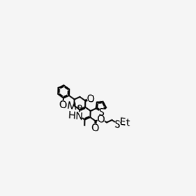 CCSCCOC(=O)C1=C(C)NC2=C(C(=O)CC(c3ccccc3OC)C2)C1c1cccs1